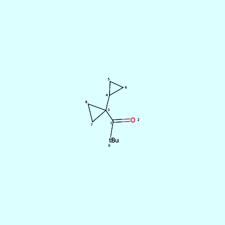 CC(C)(C)C(=O)C1(C2CC2)CC1